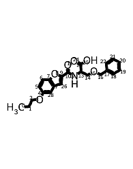 CCCOc1ccc2oc(C(=O)NC(COCc3ccccc3)C(=O)O)cc2c1